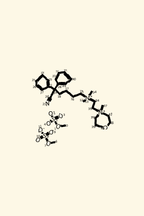 COS(=O)(=O)[O-].COS(=O)(=O)[O-].C[N+](C)(CCCCC(C#N)(c1ccccc1)c1ccccc1)CC[N+]1(C)CCOCC1